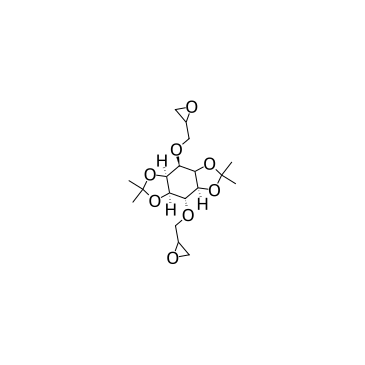 CC1(C)O[C@@H]2[C@@H](OCC3CO3)[C@@H]3OC(C)(C)OC3[C@H](OCC3CO3)[C@@H]2O1